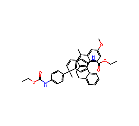 CCOC(=O)Nc1ccc(C(C)(/C=C\c2c3c(c4ccc(OC)cc4c2C)-c2ccccc2CC3)c2ccc(NC(=O)OCC)cc2)cc1